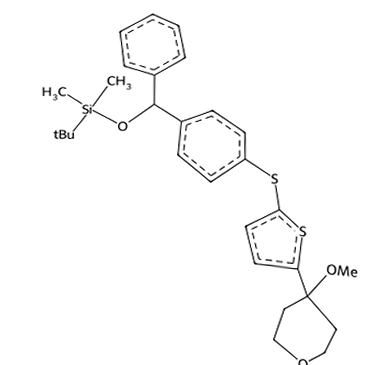 COC1(c2ccc(Sc3ccc(C(O[Si](C)(C)C(C)(C)C)c4ccccc4)cc3)s2)CCOCC1